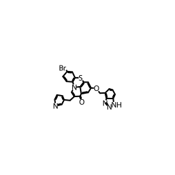 O=c1c(Cc2cccnc2)cn2c3c(cc(OCc4cccc5[nH]nnc45)cc13)Sc1cc(Br)ccc1-2